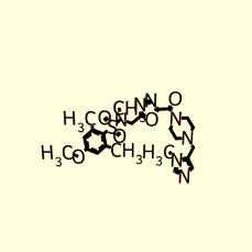 COc1cc(C)c(S(=O)(=O)N(C)Cc2nnc(C(=O)N3CCN(Cc4cncn4C)CC3)o2)c(C)c1